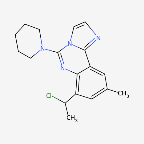 Cc1cc(C(C)Cl)c2nc(N3CCCCC3)n3ccnc3c2c1